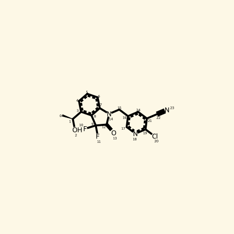 C[C@H](O)c1cccc2c1C(F)(F)C(=O)N2Cc1cnc(Cl)c(C#N)c1